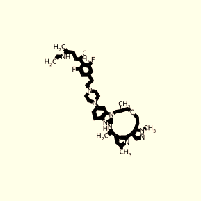 C=CNC(=C)CCC(C)c1c(F)cc(CCN2CCN(c3ccc4c(c3)N3C[C@H](C)CCCCc5c(cnn5C)-c5cc(cc(C)n5)C(=C)/N=C/3N4)CC2)cc1F